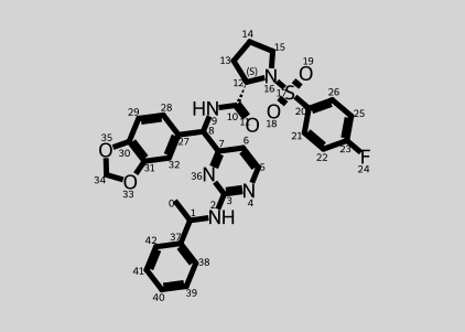 CC(Nc1nccc(C(NC(=O)[C@@H]2CCCN2S(=O)(=O)c2ccc(F)cc2)c2ccc3c(c2)OCO3)n1)c1ccccc1